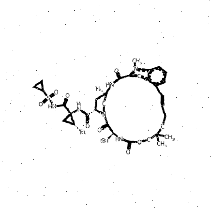 CC[C@@H]1C[C@]1(NC(=O)[C@@H]1C[C@@H]2CN1C(=O)[C@H](C(C)(C)C)NC(=O)OCC(C)(C)CC/C=C/c1cccc3c1cc(n3C)C(=O)N2)C(=O)NS(=O)(=O)C1CC1